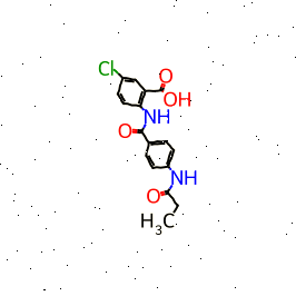 CCC(=O)Nc1ccc(C(=O)Nc2ccc(Cl)cc2C(=O)O)cc1